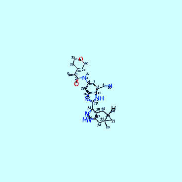 C=C(C(=O)N(C)c1cc(C#N)c2[nH]c(-c3n[nH]c4c3C[C@@H]3C[C@]3(C)C4)nc2c1)C1CCOCC1